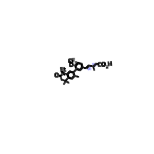 CCN1C(=O)CC(C)(C)c2cc(C)c(-c3cc(/C=C/C(C)=C/C(=O)O)ccc3OC(F)(F)F)cc21